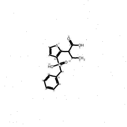 CCC(C(=O)O)c1sccc1P(=O)(O)Cc1ccccc1